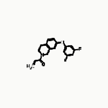 C=CC(=O)N1CCc2ccc(Oc3cc(F)cc(F)c3)cc2C1